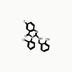 N#Cc1ccccc1CNc1nc2ccc(F)cc2c(=O)n1-c1ccccc1Cl